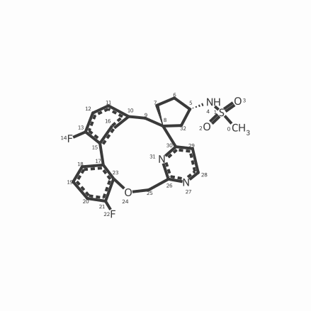 CS(=O)(=O)N[C@H]1CC[C@@]2(Cc3ccc(F)c(c3)-c3cccc(F)c3OCc3nccc2n3)C1